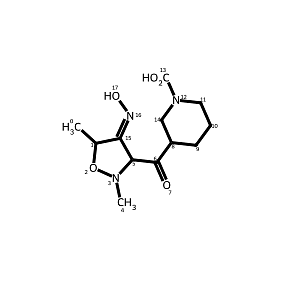 CC1ON(C)C(C(=O)C2CCCN(C(=O)O)C2)C1=NO